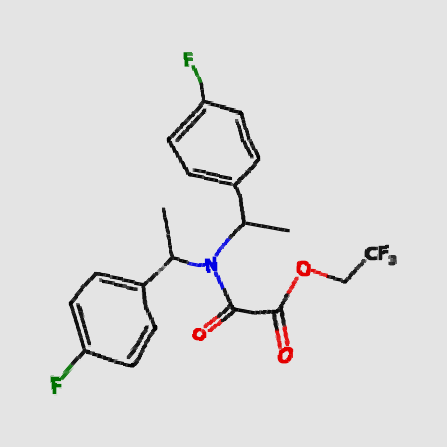 CC(c1ccc(F)cc1)N(C(=O)C(=O)OCC(F)(F)F)C(C)c1ccc(F)cc1